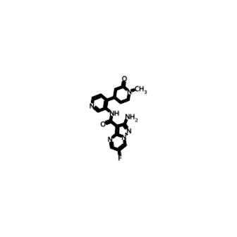 CN1CCC(c2ccncc2NC(=O)c2c(N)nn3cc(F)cnc23)CC1=O